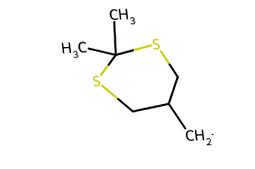 [CH2]C1CSC(C)(C)SC1